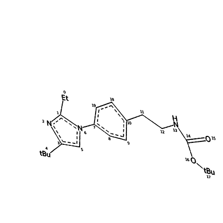 CCc1nc(C(C)(C)C)cn1-c1ccc(CCNC(=O)OC(C)(C)C)cc1